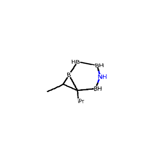 CC(C)C12BNBBB1C2C